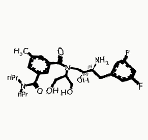 CCCN(CCC)C(=O)c1cc(C)cc(C(=O)N(C[C@@H](O)[C@@H](N)Cc2cc(F)cc(F)c2)C(CO)CO)c1